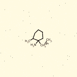 CC1CCCCC1(C)N.CCCC